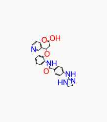 O=C(O)CC(Oc1ccccc1NC(=O)c1ccc(NC2=NCCN2)cc1)c1cccnc1